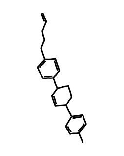 C=CCCCc1ccc(C2C=CC(c3ccc(C)cc3)CC2)cc1